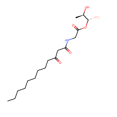 B[C@H](OC(=O)CNC(=O)CC(=O)CCCCCCCCC)[C@@H](C)O